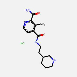 Cc1c(C(=O)NCCC2CCCNC2)ccnc1C(N)=O.Cl